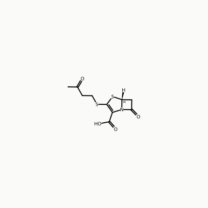 CC(=O)CCSC1=C(C(=O)O)N2C(=O)C[C@H]2S1